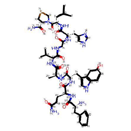 CC(C)C[C@H](NC(=O)[C@H](Cc1c[nH]cn1)NC(=O)CNC(=O)[C@@H](NC(=O)[C@H](C)NC(=O)[C@H](Cc1c[nH]c2ccc(O)cc12)NC(=O)[C@H](CCC(N)=O)NC(=O)[C@H](N)Cc1ccccc1)C(C)C)C(=O)N1CSC[C@H]1C(N)=O